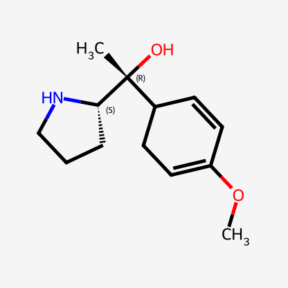 COC1=CCC([C@@](C)(O)[C@@H]2CCCN2)C=C1